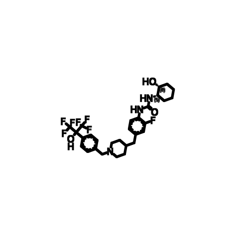 O=C(Nc1ccc(CC2CCN(Cc3ccc(C(O)(C(F)(F)F)C(F)(F)F)cc3)CC2)cc1F)N[C@H]1CCCC[C@H]1O